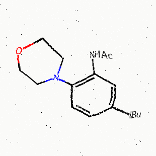 CCC(C)c1ccc(N2CCOCC2)c(NC(C)=O)c1